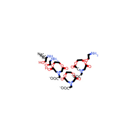 NCCO.NCCO.NCCO.O=C([O-])CN1CC(=O)OCCOC(=O)C1.O=C([O-])CN1CC(=O)OCCOC(=O)C1.O=C([O-])CN1CC(=O)OCCOC(=O)C1.[Na+].[Na+].[Na+]